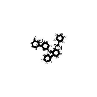 CC1CC=Cc2c1oc1ccc(-n3c4ccccc4c4ccc5nc(-c6ccccc6)sc5c43)cc21